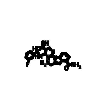 NCc1cc2c(C(N)=O)cccc2n1-c1ncc(B(O)O)c(NCc2cccc(F)c2)n1